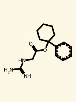 N=C(N)NCC(=O)OC1(c2ccccc2)CCCCC1